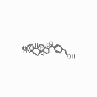 C[C@]12C=CC(=O)NC1CC[C@@H]1[C@H]2CC[C@]2(C)C(C(=O)c3ccc(CCO)cc3)CC[C@@H]12